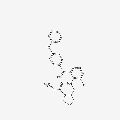 C=CC(=O)N1CCCC1CNc1c(F)cncc1C(=N)c1ccc(Oc2ccccc2)cc1